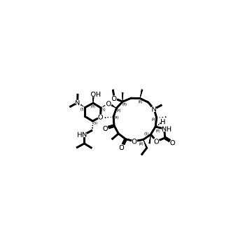 CC[C@H]1OC(=O)C(C)C(=O)[C@H](C)[C@@H](O[C@@H]2O[C@H](CNC(C)C)C[C@H](N(C)C)[C@H]2O)[C@](C)(OC)C[C@@H](C)CN(C)[C@H](C)[C@H]2NC(=O)O[C@@]21C